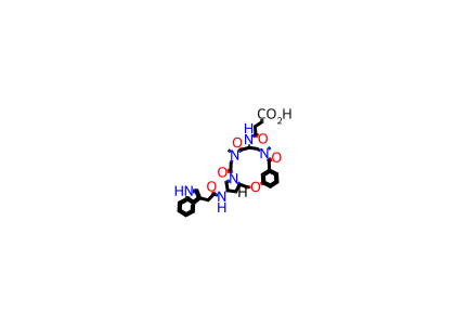 CN1C[C@H](NC(=O)CCC(=O)O)C(=O)N(C)CC(=O)N2C[C@@H](NC(=O)Cc3c[nH]c4ccccc34)C[C@H]2COc2cccc(c2)C1=O